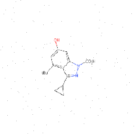 CC(C)(C)c1cc(O)cc2c1c(C1CC1)nn2C(=O)O